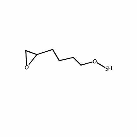 SOCCCCC1CO1